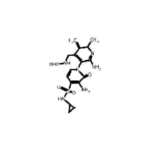 C=C1C(CNC=O)=C(n2ccc(S(=O)(=O)NC3CC3)c(N)c2=O)C(N)=NC1C